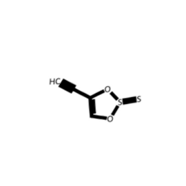 C#CC1=COS(=S)O1